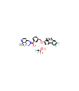 CSc1cc(F)c(F)cc1-c1ccc(OCc2cccc(C(=O)N(CC(=O)O)Cc3ccncc3)c2)cc1.O=C(O)C(F)(F)F